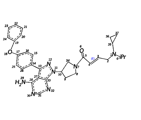 CC(C)N(C/C=C/C(=O)N1CCC(n2nc(-c3ccc(Oc4ccccc4)cc3)c3c(N)ncnc32)C1)C1CC1